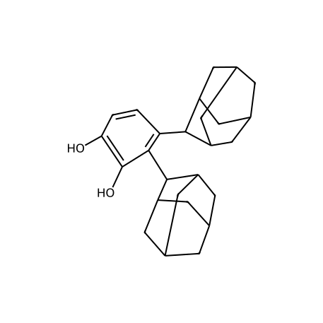 Oc1ccc(C2C3CC4CC(C3)CC2C4)c(C2C3CC4CC(C3)CC2C4)c1O